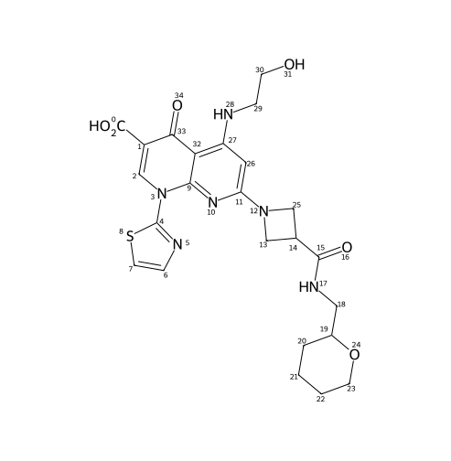 O=C(O)c1cn(-c2nccs2)c2nc(N3CC(C(=O)NCC4CCCCO4)C3)cc(NCCO)c2c1=O